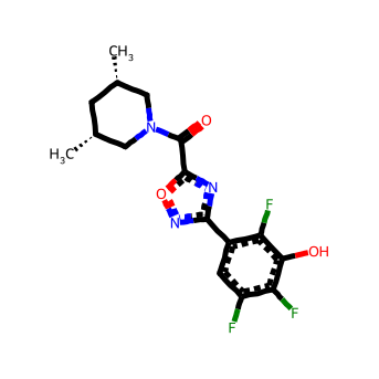 C[C@@H]1C[C@H](C)CN(C(=O)c2nc(-c3cc(F)c(F)c(O)c3F)no2)C1